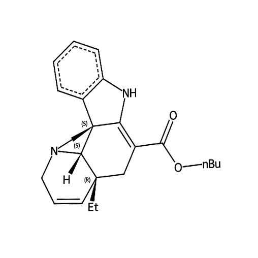 CCCCOC(=O)C1=C2Nc3ccccc3[C@]23CCN2CC=C[C@@](CC)(C1)[C@H]23